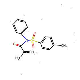 C=C(C)C(=O)N(c1ccccc1)S(=O)(=O)c1ccc(C)cc1